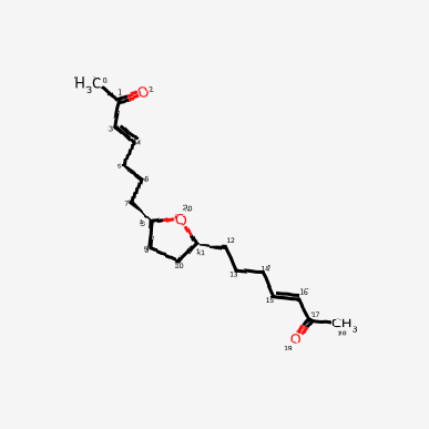 CC(=O)/C=C/CCC[C@@H]1CC[C@H](CCC/C=C/C(C)=O)O1